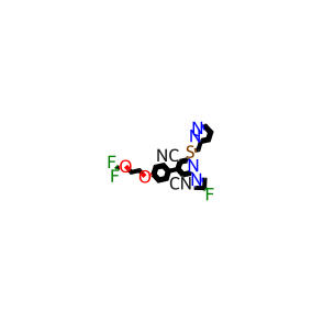 N#Cc1c(SCc2cccnn2)nc(N2CC(F)C2)c(C#N)c1-c1ccc(OCCOC(F)F)cc1